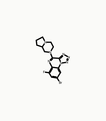 Fc1cc(Br)cc2c1nc(N1CCN3CCCC3C1)c1nnnn12